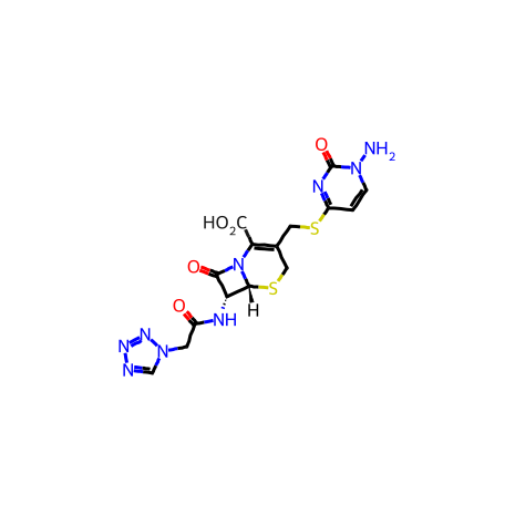 Nn1ccc(SCC2=C(C(=O)O)N3C(=O)[C@@H](NC(=O)Cn4cnnn4)[C@H]3SC2)nc1=O